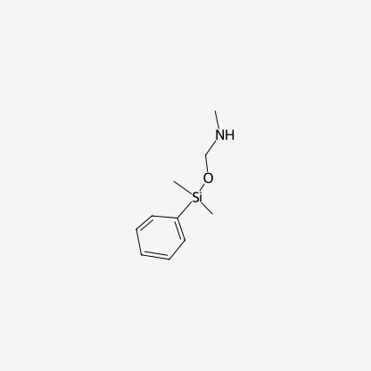 CNCO[Si](C)(C)c1ccccc1